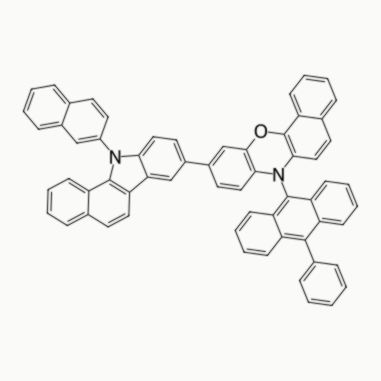 c1ccc(-c2c3ccccc3c(N3c4ccc(-c5ccc6c(c5)c5ccc7ccccc7c5n6-c5ccc6ccccc6c5)cc4Oc4c3ccc3ccccc43)c3ccccc23)cc1